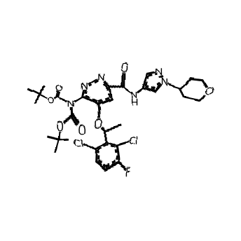 CC(Oc1cc(C(=O)Nc2cnn(C3CCOCC3)c2)nnc1N(C(=O)OC(C)(C)C)C(=O)OC(C)(C)C)c1c(Cl)ccc(F)c1Cl